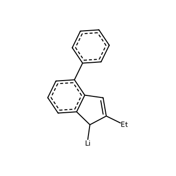 [Li][CH]1C(CC)=Cc2c(-c3ccccc3)cccc21